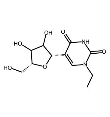 CCn1cc([C@@H]2O[C@H](CO)C(O)C2O)c(=O)[nH]c1=O